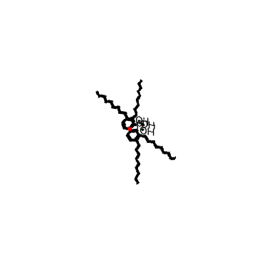 CCCCCCCCCc1cccc(P(O)(O)(O)c2cccc(CCCCCCCCC)c2CCCCCCCCC)c1CCCCCCCCC